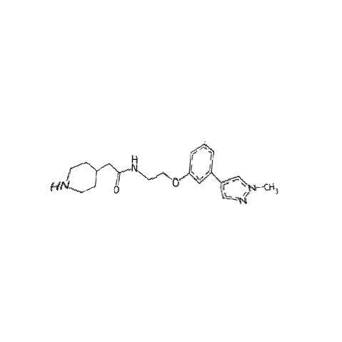 Cn1cc(-c2c[c]cc(OCCNC(=O)CC3CCNCC3)c2)cn1